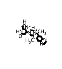 CC[C@@H]1CN(c2cc(=O)[nH]c3c[nH]nc23)[C@@H](C)CN1C(C)c1ccc2nccnc2c1